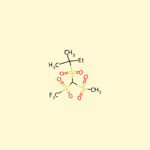 CCC(C)(C)S(=O)(=O)C(S(C)(=O)=O)S(=O)(=O)C(F)(F)F